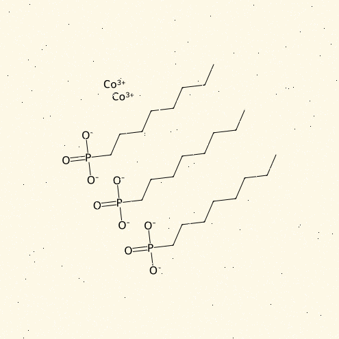 CCCCCCCCP(=O)([O-])[O-].CCCCCCCCP(=O)([O-])[O-].CCCCCCCCP(=O)([O-])[O-].[Co+3].[Co+3]